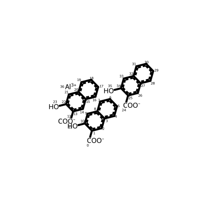 O=C([O-])c1cc2ccccc2cc1O.O=C([O-])c1cc2ccccc2cc1O.O=C([O-])c1cc2ccccc2cc1O.[Al+3]